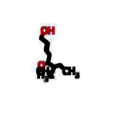 CCC(C)C(C/C=C/CO)OC